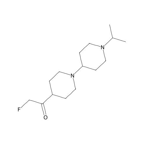 CC(C)N1CCC(N2CCC(C(=O)CF)CC2)CC1